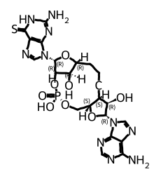 Nc1nc2c(ncn2[C@@H]2O[C@@H]3CCC[C@H]4[C@@H](O)[C@H](n5cnc6c(N)ncnc65)O[C@@H]4COP(=O)(O)O[C@@H]2[C@@H]3O)c(=S)[nH]1